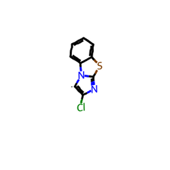 Clc1[c]n2c(n1)sc1ccccc12